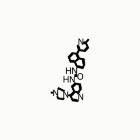 Cc1ccc(-c2cccc3c(NC(=O)Nc4ccc5nccc(N6CCN(C)CC6)c5c4)cccc23)cn1